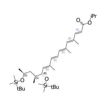 CC(=C\C=C\C(C)=C\[C@H](O[Si](C)(C)C(C)(C)C)[C@@H](C)C[C@H](C)O[Si](C)(C)C(C)(C)C)/C=C(C)/C=C/C(=O)OC(C)C